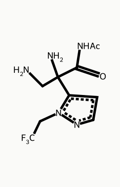 CC(=O)NC(=O)C(N)(CN)c1ccnn1CC(F)(F)F